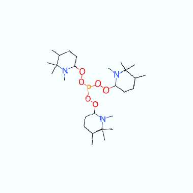 CC1CCC(OOP(OOC2CCC(C)C(C)(C)N2C)OOC2CCC(C)C(C)(C)N2C)N(C)C1(C)C